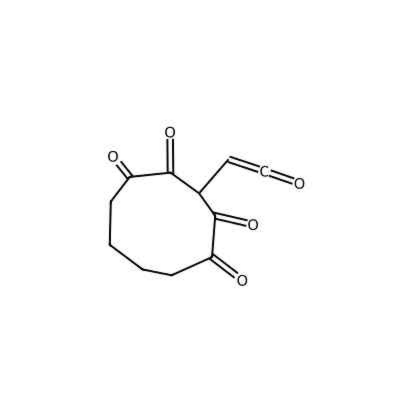 O=C=CC1C(=O)C(=O)CCCCC(=O)C1=O